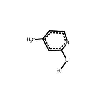 CCOc1cc(C)ccn1